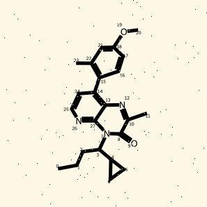 CCCC(C1CC1)n1c(=O)c(C)nc2c(-c3ccc(OC)cc3C)ccnc21